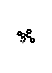 NCC(=O)N(Cc1ccccc1)C(CCc1ccccc1)c1ccccc1